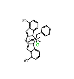 CC1=Cc2c(C(C)C)cccc2[CH]1[Zr]([CH3])([CH3])(=[SiH2])([Cl])([CH2]c1ccccc1)[CH]1C(C)=Cc2c(C(C)C)cccc21